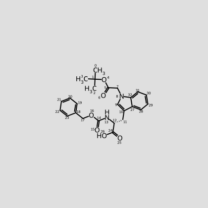 CC(C)(C)OC(=O)Cn1cc(C[C@@H](NC(=O)OCc2ccccc2)C(=O)O)c2ccccc21